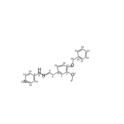 COc1cc(CC=NNc2ccncc2)ccc1OCc1ccccc1